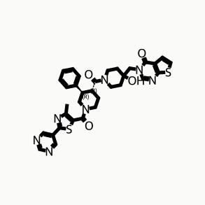 Cc1nc(-c2cncnc2)sc1C(=O)N1CC[C@@H](C(=O)N2CCC(O)(Cn3cnc4sccc4c3=O)CC2)[C@H](c2ccccc2)C1